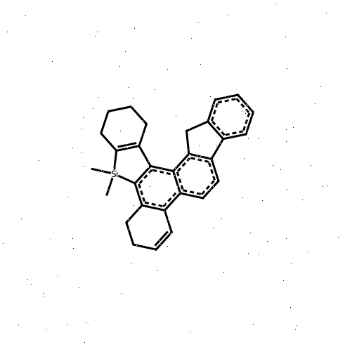 C[Si]1(C)C2=C(CCCC2)c2c1c1c(c3ccc4c(c23)Cc2ccccc2-4)C=CCC1